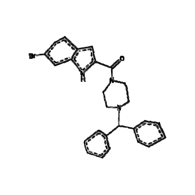 O=C(c1cc2ccc(Br)cc2[nH]1)N1CCN(C(c2ccccc2)c2ccccc2)CC1